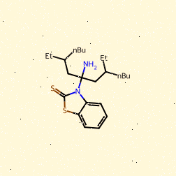 CCCCC(CC)CC(N)(CC(CC)CCCC)n1c(=S)sc2ccccc21